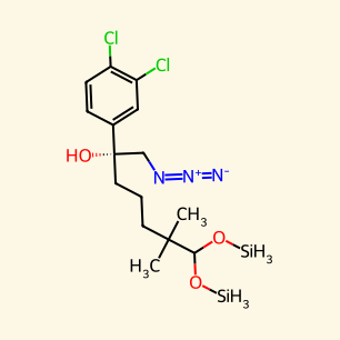 CC(C)(CCC[C@](O)(CN=[N+]=[N-])c1ccc(Cl)c(Cl)c1)C(O[SiH3])O[SiH3]